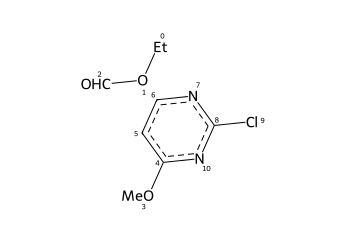 CCOC=O.COc1ccnc(Cl)n1